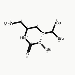 COCC(COC(C(C)(C)C)C(C)(C)C)NC(=O)OC(C)(C)C